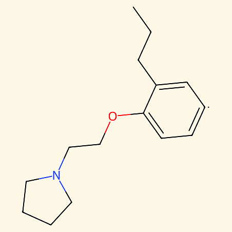 CCCc1c[c]ccc1OCCN1CCCC1